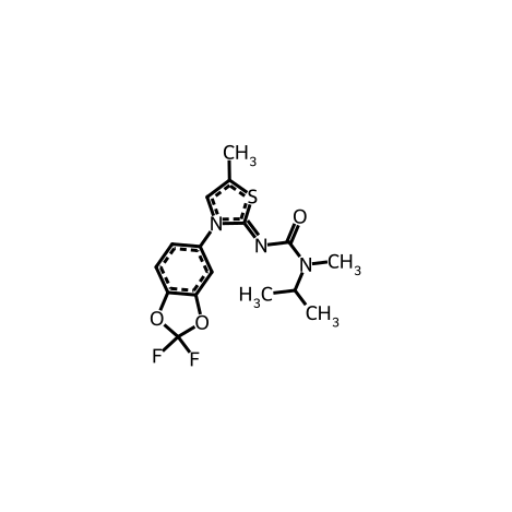 Cc1cn(-c2ccc3c(c2)OC(F)(F)O3)c(=NC(=O)N(C)C(C)C)s1